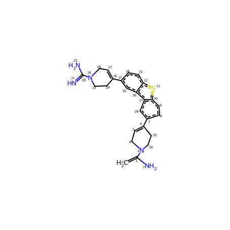 C=C(N)N1CC=C(c2ccc3sc4ccc(C5=CCN(C(=N)N)CC5)cc4c3c2)CC1